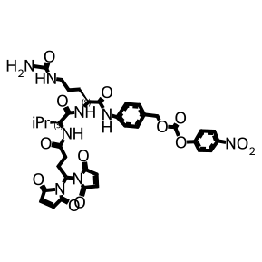 CC(C)[C@H](NC(=O)CCC(N1C(=O)C=CC1=O)N1C(=O)C=CC1=O)C(=O)N[C@@H](CCCNC(N)=O)C(=O)Nc1ccc(COC(=O)Oc2ccc([N+](=O)[O-])cc2)cc1